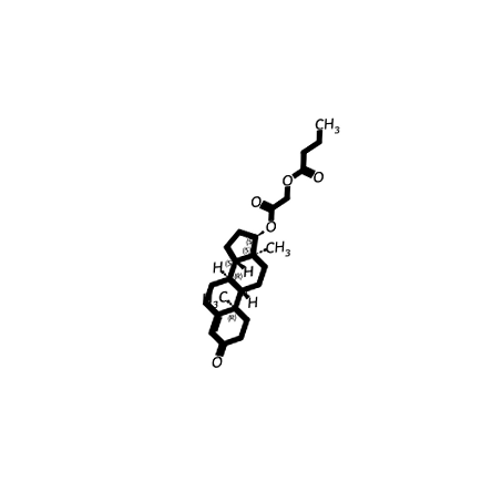 CCCC(=O)OCC(=O)O[C@H]1CC[C@H]2[C@@H]3CCC4=CC(=O)CC[C@]4(C)[C@H]3CC[C@]12C